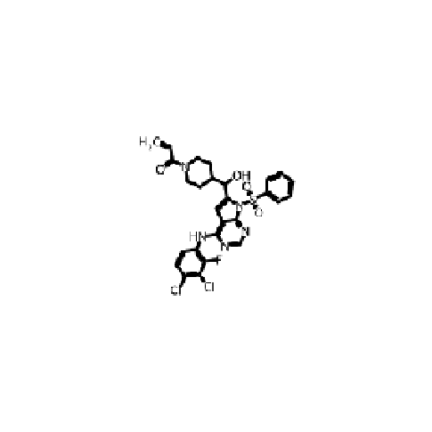 C=CC(=O)N1CCC(C(O)c2cc3c(Nc4ccc(Cl)c(Cl)c4F)ncnc3n2S(=O)(=O)c2ccccc2)CC1